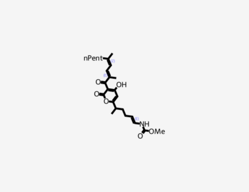 CCCCC/C(C)=C\C=C(/C)C(=O)c1c(O)cc(C(C)CC/C=C/NC(=O)OC)oc1=O